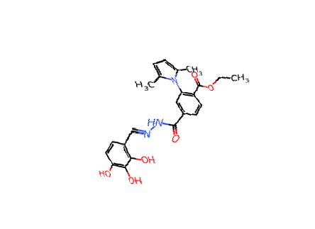 CCOC(=O)c1ccc(C(=O)N/N=C/c2ccc(O)c(O)c2O)cc1-n1c(C)ccc1C